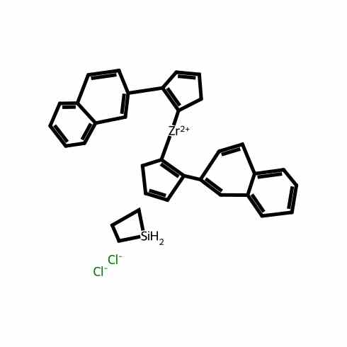 C1=CC(c2ccc3ccccc3c2)=[C]([Zr+2][C]2=C(c3ccc4ccccc4c3)C=CC2)C1.C1C[SiH2]C1.[Cl-].[Cl-]